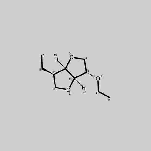 CCO[C@H]1CO[C@@H]2[C@H](CC)CO[C@@H]21